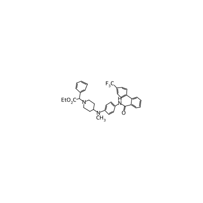 CCOC(=O)C(c1ccccc1)N1CCC(N(C)c2ccc(NC(=O)c3ccccc3-c3ccc(C(F)(F)F)cc3)cc2)CC1